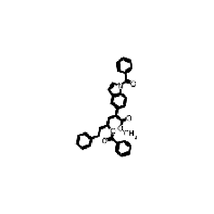 COC(=O)C(CC(CCc1ccccc1)OC(=O)c1ccccc1)c1ccc2c(ccn2C(=O)c2ccccc2)c1